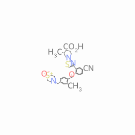 Cc1cc(CN2CC[S+]([O-])CC2)ccc1COc1ccc(C#N)cc1-c1csc(N2CCC(C(=O)O)C(C)C2)n1